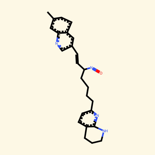 Cc1ccc2cc(/C=C/C(CCCCc3ccc4c(n3)NCCC4)N=O)cnc2c1